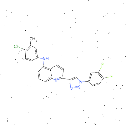 Cc1cc(Nc2cccc3nc(-c4cn(-c5ccc(F)c(F)c5)nn4)ccc23)ccc1Cl